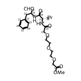 COC(=O)COCCOCCOCC(=O)N[C@H](C(=O)NC(C=O)Cc1ccccc1)C(C)C